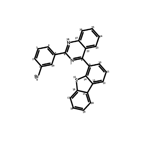 Brc1cccc(-c2nc(-c3cccc4c3sc3ccccc34)c3ccccc3n2)c1